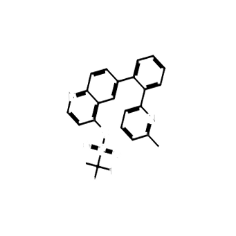 Cc1cccc(-c2ccccc2-c2ccc3nccc(OS(=O)(=O)C(F)(F)F)c3c2)n1